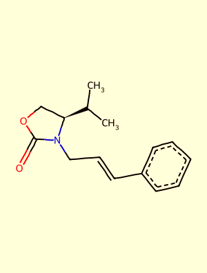 CC(C)[C@@H]1COC(=O)N1C/C=C/c1ccccc1